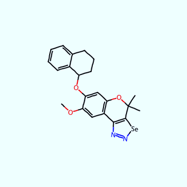 COc1cc2c(cc1OC1CCCc3ccccc31)OC(C)(C)c1[se]nnc1-2